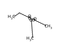 CCCCCC/C=C\CCCCCCCCCC(=O)OC[C@H](COC(=O)CCCCCCCCCCCCC)OCCCCCCCCCCCCCCCCCC